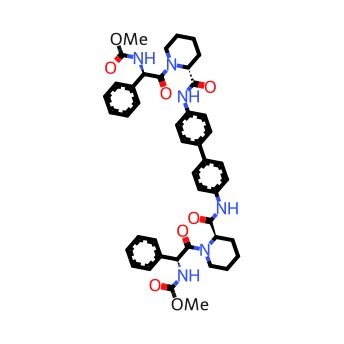 COC(=O)N[C@@H](C(=O)N1CCCC[C@@H]1C(=O)Nc1ccc(-c2ccc(NC(=O)[C@H]3CCCCN3C(=O)[C@H](NC(=O)OC)c3ccccc3)cc2)cc1)c1ccccc1